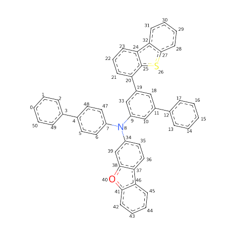 c1ccc(-c2ccc(N(c3cc(-c4ccccc4)cc(-c4cccc5c4sc4ccccc45)c3)c3ccc4c(c3)oc3ccccc34)cc2)cc1